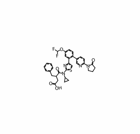 O=C(O)CC(Cc1ccccc1)C(=O)N(c1nc(-c2cc(OC(F)F)ccc2-c2ccc(N3CCCC3=O)nc2)cs1)C1CC1